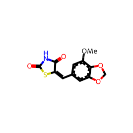 COc1cc(C=C2SC(=O)NC2=O)cc2c1OCO2